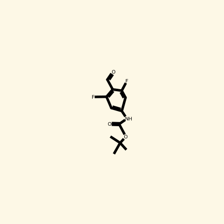 CC(C)(C)OC(=O)Nc1cc(F)c(C=O)c(F)c1